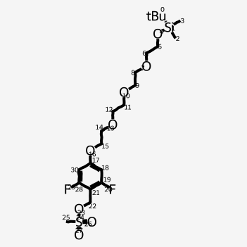 CC(C)(C)[Si](C)(C)OCCOCCOCCOCCOc1cc(F)c(COS(C)(=O)=O)c(F)c1